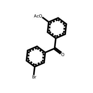 CC(=O)Oc1cccc(C(=O)c2cccc(Br)c2)c1